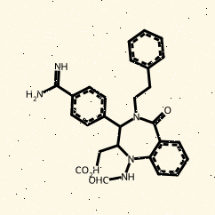 N=C(N)c1ccc(C2C(CC(=O)O)N(NC=O)c3ccccc3C(=O)N2CCc2ccccc2)cc1